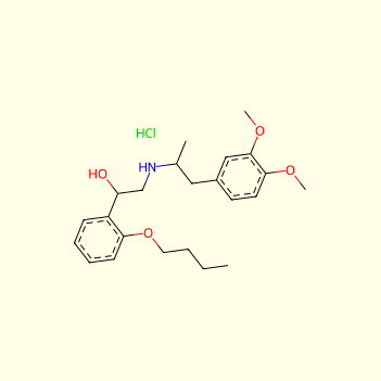 CCCCOc1ccccc1C(O)CNC(C)Cc1ccc(OC)c(OC)c1.Cl